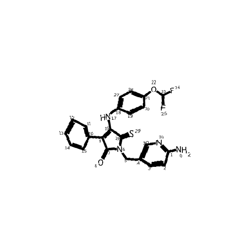 Nc1ccc(CN2C(=O)C(c3ccccc3)=C(Nc3ccc(OC(F)F)cc3)C2=S)cn1